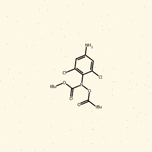 CC(C)(C)OC(=O)N(OC(=O)C(C)(C)C)c1c(Cl)cc(N)cc1Cl